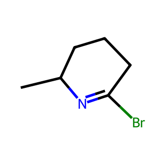 CC1CCCC(Br)=N1